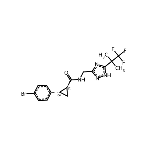 CC(C)(c1nc(CNC(=O)[C@H]2C[C@@H]2c2ccc(Br)cc2)n[nH]1)C(F)(F)F